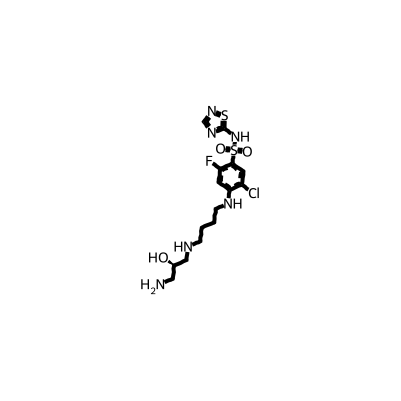 NC[C@@H](O)CNCCCCNc1cc(F)c(S(=O)(=O)Nc2ncns2)cc1Cl